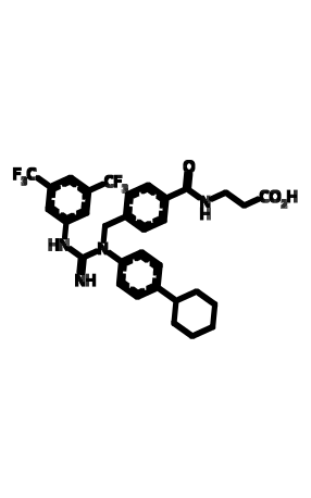 N=C(Nc1cc(C(F)(F)F)cc(C(F)(F)F)c1)N(Cc1ccc(C(=O)NCCC(=O)O)cc1)c1ccc(C2CCCCC2)cc1